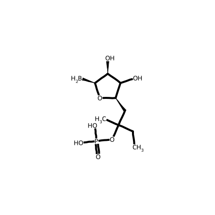 B[C@@H]1O[C@H](CC(C)(CC)OP(=O)(O)O)C(O)[C@@H]1O